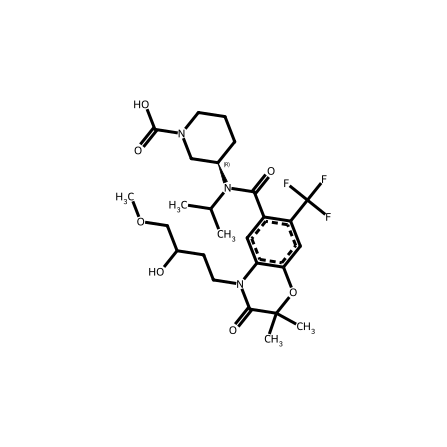 COCC(O)CCN1C(=O)C(C)(C)Oc2cc(C(F)(F)F)c(C(=O)N(C(C)C)[C@@H]3CCCN(C(=O)O)C3)cc21